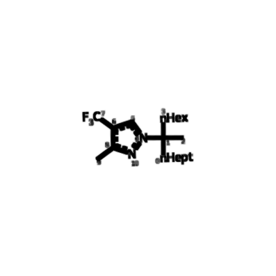 CCCCCCCC(C)(CCCCCC)n1cc(C(F)(F)F)c(C)n1